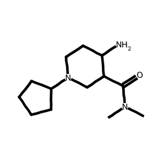 CN(C)C(=O)C1CN(C2CCCC2)CCC1N